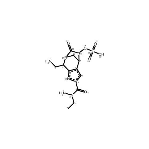 CCN(N)C(=O)n1cc2c(n1)C(CN)N1CC2N(OS(=O)(=O)O)C1=O